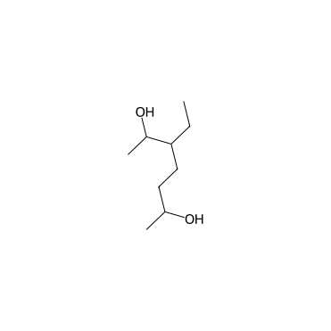 CCC(CCC(C)O)C(C)O